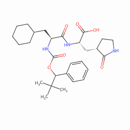 CC(C)(C)C(OC(=O)N[C@@H](CC1CCCCC1)C(=O)N[C@@H](C[C@@H]1CCNC1=O)C(=O)O)c1ccccc1